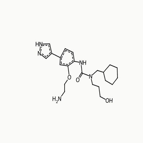 NCCOc1cc(-c2cn[nH]c2)ccc1NC(=O)N(CCCO)CC1CCCCC1